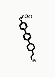 CCCCCCCCOc1ccc(-c2ccc(C3CCC(CCC(C)C)CC3)cc2)cc1